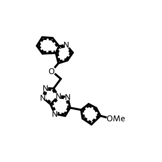 COc1ccc(-c2cnc3nnc(COc4ccnc5ccccc45)n3n2)cc1